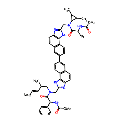 CO/C=C/C(C)CN(Cc1nc2ccc3cc(-c4ccc5c(ccc6nc(CN(C(=O)C(NC(=O)OC)C(C)C)C7C(C)C7C)[nH]c65)c4)ccc3c2[nH]1)C(=O)C(NC(=O)OC)c1ccccc1